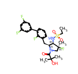 CCS(=O)(=O)N[C@@H]1[C@H](Cc2cccc(-c3cc(F)cc(F)c3)c2F)N(C(=O)C(C)(C)O)C[C@]1(C)F